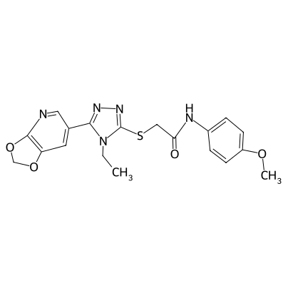 CCn1c(SCC(=O)Nc2ccc(OC)cc2)nnc1-c1cnc2c(c1)OCO2